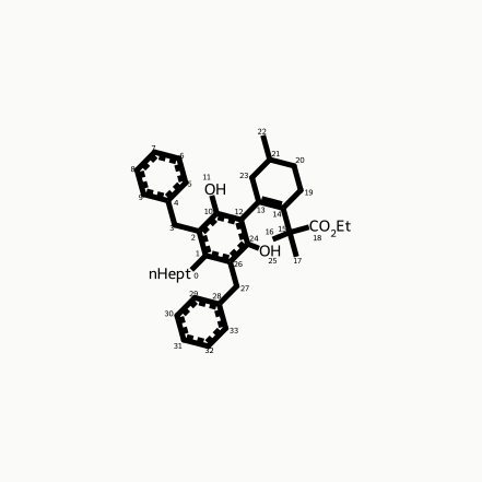 CCCCCCCc1c(Cc2ccccc2)c(O)c(C2=C(C(C)(C)C(=O)OCC)CCC(C)C2)c(O)c1Cc1ccccc1